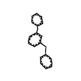 [c]1c(Cc2ccccc2)cccc1-c1ccccc1